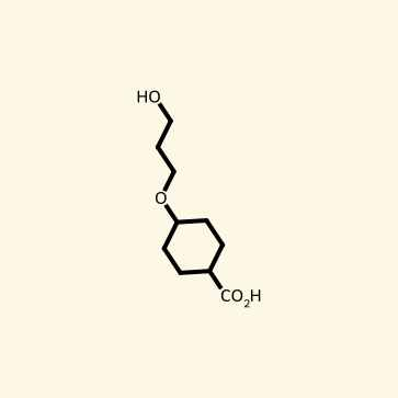 O=C(O)C1CCC(OCCCO)CC1